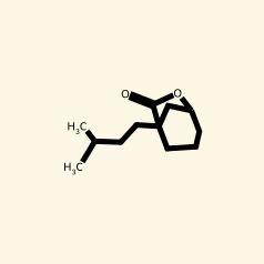 CC(C)CCC12CCCC(C1)OC2=O